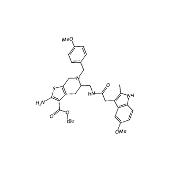 COc1ccc(CN2Cc3sc(N)c(C(=O)OC(C)(C)C)c3CC2CNC(=O)Cc2c(C)[nH]c3ccc(OC)cc23)cc1